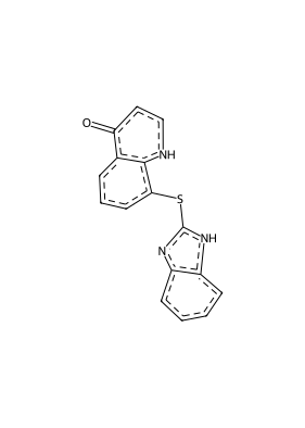 O=c1cc[nH]c2c(Sc3nc4ccccc4[nH]3)cccc12